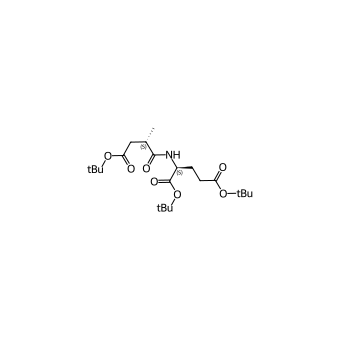 C[C@@H](CC(=O)OC(C)(C)C)C(=O)N[C@@H](CCC(=O)OC(C)(C)C)C(=O)OC(C)(C)C